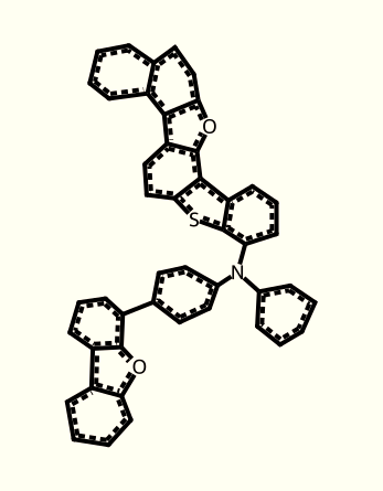 c1ccc(N(c2ccc(-c3cccc4c3oc3ccccc34)cc2)c2cccc3c2sc2ccc4c(oc5ccc6ccccc6c54)c23)cc1